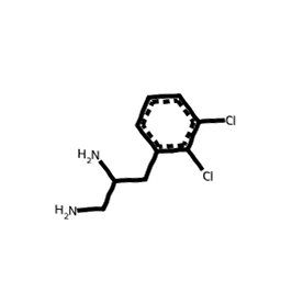 NCC(N)Cc1cccc(Cl)c1Cl